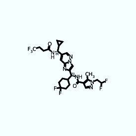 Cc1c(C(=O)N[C@H](c2cn3ncc([C@H](NC(=O)CCC(F)(F)F)C4CC4)cc3n2)C2CCC(F)(F)CC2)cnn1CC(F)F